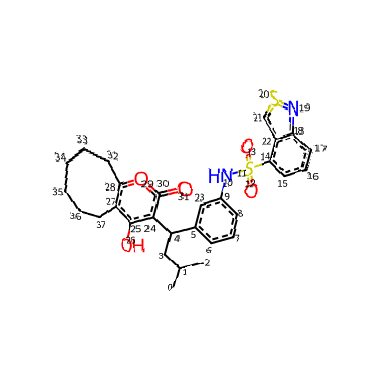 CC(C)CC(c1cccc(NS(=O)(=O)c2cccc3nscc23)c1)c1c(O)c2c(oc1=O)CCCCCC2